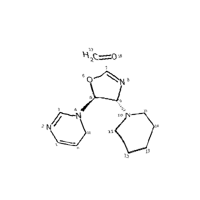 C1=CN=CN([C@H]2OC=N[C@@H]2N2CCCCC2)C1.C=O